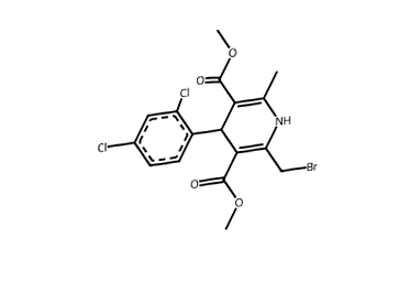 COC(=O)C1=C(C)NC(CBr)=C(C(=O)OC)C1c1ccc(Cl)cc1Cl